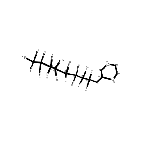 FC(F)(F)C(F)(F)C(F)(F)C(F)(F)C(F)(F)C(F)(F)C(F)(F)C(F)(F)CC1COCCO1